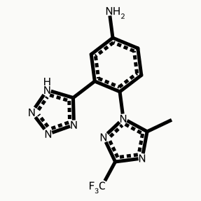 Cc1nc(C(F)(F)F)nn1-c1ccc(N)cc1-c1nnn[nH]1